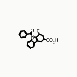 O=C(O)C1Cc2c(n(C(=O)c3ccccc3)c3ccccc23)C(Cl)C1